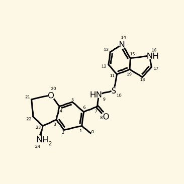 Cc1cc2c(cc1C(=O)NSc1ccnc3[nH]ccc13)OCC[C@@H]2N